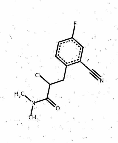 CN(C)C(=O)C(Cl)Cc1c[c]c(F)cc1C#N